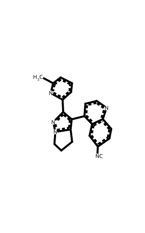 [C-]#[N+]c1ccc2nccc(-c3c(-c4cccc(C)n4)nn4c3CCC4)c2c1